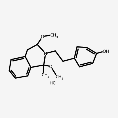 COC1Cc2ccccc2C(C)(OC)N1CCc1ccc(O)cc1.Cl